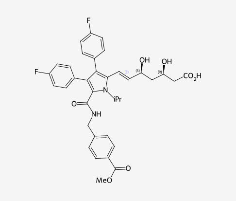 COC(=O)c1ccc(CNC(=O)c2c(-c3ccc(F)cc3)c(-c3ccc(F)cc3)c(/C=C/[C@@H](O)C[C@@H](O)CC(=O)O)n2C(C)C)cc1